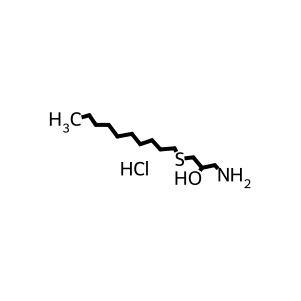 CCCCCCCCCCSCC(O)CN.Cl